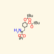 CC(C)OC(=O)[C@H](N)Cc1ccc(OC(=O)C(C)(C)C)c(OC(=O)C(C)(C)C)c1